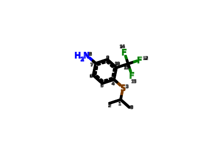 CC(C)Sc1ccc(N)cc1C(F)(F)F